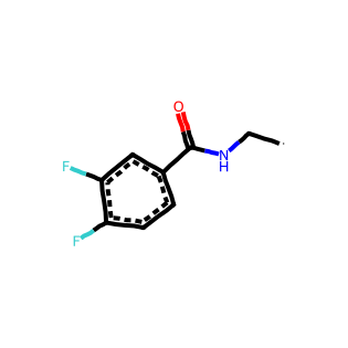 [CH2]CNC(=O)c1ccc(F)c(F)c1